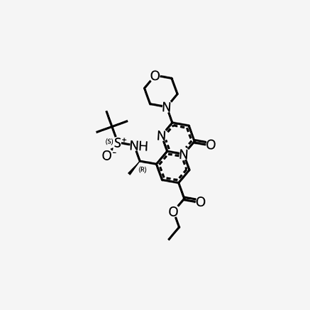 CCOC(=O)c1cc([C@@H](C)N[S@+]([O-])C(C)(C)C)c2nc(N3CCOCC3)cc(=O)n2c1